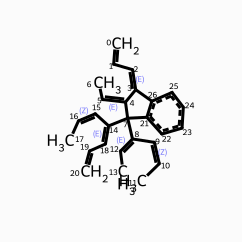 C=C/C=C1\C(=C/C)C(C(/C=C\C)=C/C)(C(/C=C\C)=C/C=C)c2ccccc21